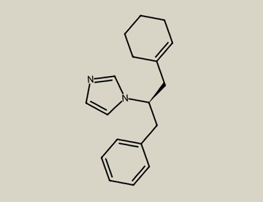 C1=C(C[C@@H](Cc2ccccc2)n2ccnc2)CCCC1